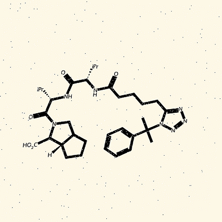 CC(C)[C@H](NC(=O)CCCCc1nnnn1C(C)(C)c1ccccc1)C(=O)N[C@H](C(=O)N1CC2CCC[C@@H]2C1C(=O)O)C(C)C